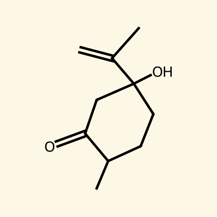 C=C(C)C1(O)CCC(C)C(=O)C1